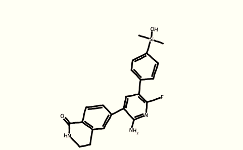 C[Si](C)(O)c1ccc(-c2cc(-c3ccc4c(c3)CCNC4=O)c(N)nc2F)cc1